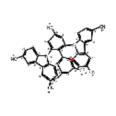 N#Cc1cc(-c2c(-n3c4ccc(C#N)cc4c4cc(C#N)ccc43)cc(C#N)cc2-n2c3ccc(C#N)cc3c3cc(C#N)ccc32)cc(C(F)(F)F)c1